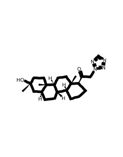 C[C@@]1(O)CC[C@@]2(C)[C@@H](CC[C@@H]3[C@@H]2CC[C@]2(C)[C@@H](C(=O)Cn4ncnn4)CCC[C@@H]32)C1